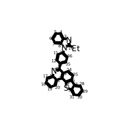 CCc1nc2ccccc2n1-c1ccc(-c2nc3ccccc3c3c2ccc2c4ccccc4sc23)cc1